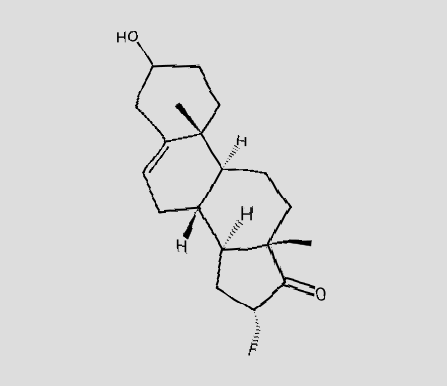 C[C@]12CCC(O)CC1=CC[C@@H]1[C@@H]2CC[C@]2(C)C(=O)[C@H](F)C[C@@H]12